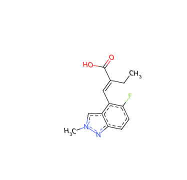 CCC(=Cc1c(F)ccc2nn(C)cc12)C(=O)O